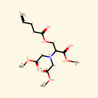 C=CCCC(=O)OCC(C(=O)OC(C)(C)C)N(CC(=O)OC(C)(C)C)CC(=O)OC(C)(C)C